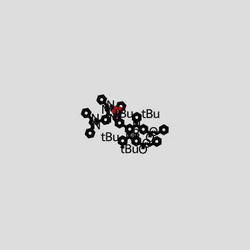 CC(C)(C)c1cc(N2c3ccc(C(=O)OCc4ccccc4)cc3B3c4cc(C(=O)OCc5ccccc5)ccc4N(c4cc(C(C)(C)C)cc(C(C)(C)C)c4)c4cc(-c5ccc6c(c5)c5ccccc5n6-c5ccc(-c6nc(-c7ccccc7)cc(-c7ccccc7)n6)cc5-c5nc(-c6ccccc6)nc(-c6ccccc6)n5)cc2c43)cc(C(C)(C)C)c1